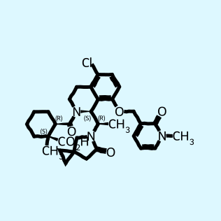 C[C@H]([C@@H]1c2c(OCc3cccn(C)c3=O)ccc(Cl)c2CCN1C(=O)[C@@H]1CCCC[C@]1(C)C(=O)O)N1CC2(CC2)CC1=O